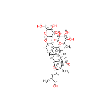 CC1O[C@@H](O[C@H]2C(O)[C@H](O)C(CO)O[C@H]2OC2CC[C@@]3(C)C(=CC[C@H]4[C@@H]5CC(=O)[C@H]([C@H](C)C(=O)CC[C@@H](C)CO)[C@@]5(C)CC[C@@H]43)C2)[C@@H](O)C(O)[C@H]1O